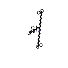 COC(=O)CCCCCC/C=C/C(CCCCCCCC(=O)OC)C(C)CC(=O)NC=O